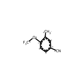 [CH2]c1cc(C#N)ccc1OC(F)(F)F